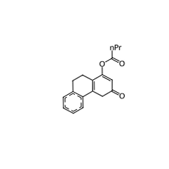 CCCC(=O)OC1=CC(=O)CC2=C1CCc1ccccc12